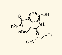 CCCCCCCCCCCC(N)=O.CCCN=O.CCCOC(=O)c1ccc(O)cc1